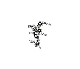 CCC(CC)Oc1nc(N(Cc2ccc(OC)cc2)Cc2ccc(OC)cc2)c2ncc(C(O)c3ccc(OCCN(C)C(=O)OC(C)(C)C)nc3)n2n1